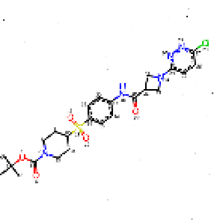 CC(C)(C)OC(=O)N1CCC(S(=O)(=O)c2ccc(NC(=O)C3CN(c4ccc(Cl)nn4)C3)cc2)CC1